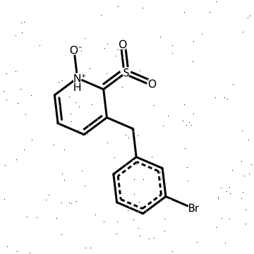 O=S(=O)=C1C(Cc2cccc(Br)c2)=CC=C[NH+]1[O-]